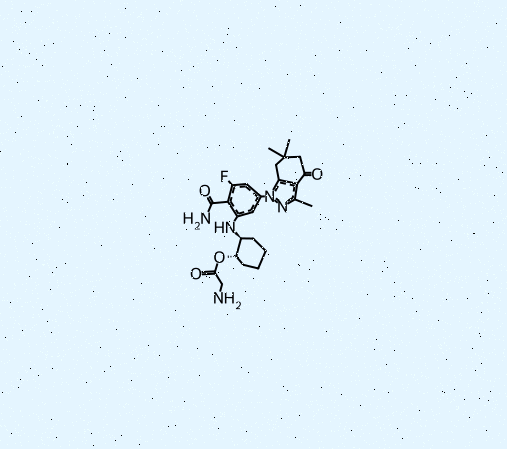 Cc1nn(-c2cc(F)c(C(N)=O)c(N[C@H]3CCCC[C@@H]3OC(=O)CN)c2)c2c1C(=O)CC(C)(C)C2